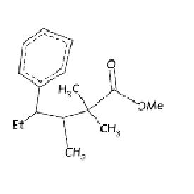 CCC(c1ccccc1)C(C)C(C)(C)C(=O)OC